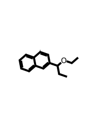 CCOC(CC)c1c[c]c2ccccc2c1